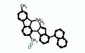 CC1=Cc2c(-c3cccc4ccccc34)cccc2C1c1c(C)ccc2c1[CH]([Zr+2])c1cc(C)ccc1-2.[Cl-].[Cl-]